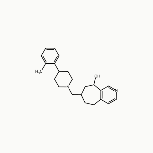 Cc1ccccc1C1CCN(CC2CCc3ccncc3C(O)C2)CC1